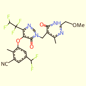 COCc1nc(C)c(Cn2cnc(C(F)(F)C(F)F)c(Oc3cc(C(F)F)cc(C#N)c3C)c2=O)c(=O)[nH]1